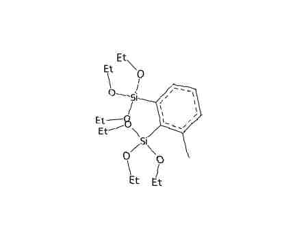 CCO[Si](OCC)(OCC)c1cccc(C)c1[Si](OCC)(OCC)OCC